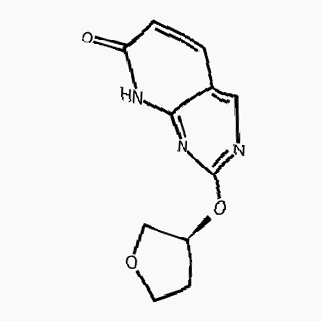 O=c1ccc2cnc(O[C@H]3CCOC3)nc2[nH]1